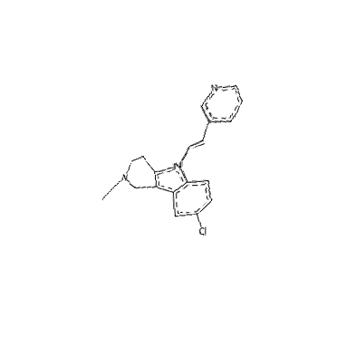 CN1CCc2c(c3cc(Cl)ccc3n2/C=C/c2cccnc2)C1